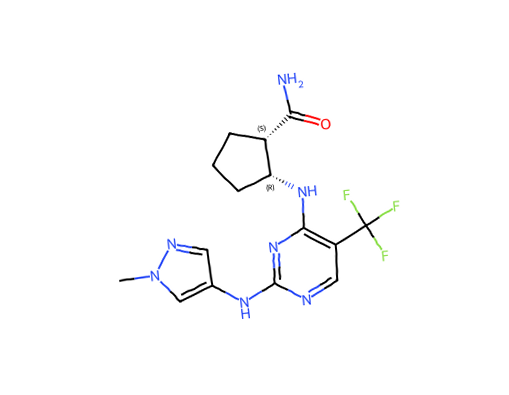 Cn1cc(Nc2ncc(C(F)(F)F)c(N[C@@H]3CCC[C@@H]3C(N)=O)n2)cn1